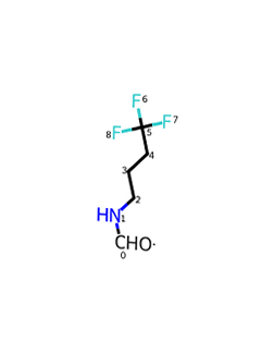 O=[C]NCCCC(F)(F)F